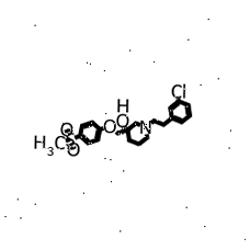 CS(=O)(=O)c1ccc(OC[C@]2(O)CCCN(CCc3cccc(Cl)c3)C2)cc1